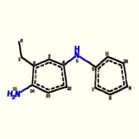 CCc1cc(Nc2ccccc2)ccc1N